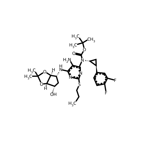 CCCSc1nc(N[C@@H]2C[C@H](O)[C@H]3OC(C)(C)O[C@H]32)c(N)c(N(C(=O)OC(C)(C)C)[C@@H]2C[C@H]2c2ccc(F)c(F)c2)n1